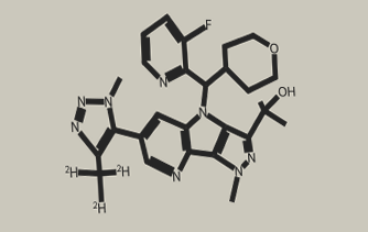 [2H]C([2H])([2H])c1nnn(C)c1-c1cnc2c3c(c(C(C)(C)O)nn3C)n(C(c3ncccc3F)C3CCOCC3)c2c1